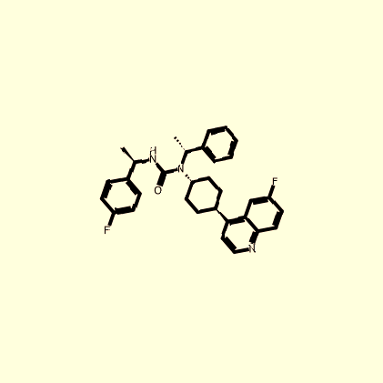 C[C@H](c1ccccc1)N(C(=O)N[C@H](C)c1ccc(F)cc1)[C@H]1CC[C@H](c2ccnc3ccc(F)cc32)CC1